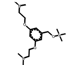 CN(C)CCOc1cc(CO[Si](C)(C)C)cc(OCCN(C)C)c1